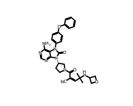 CC(C)(/C=C(/C#N)C(=O)N1CC[C@H](n2c(=O)n(-c3ccc(Oc4ccccc4)cc3)c3c(N)ncnc32)C1)NC1COC1